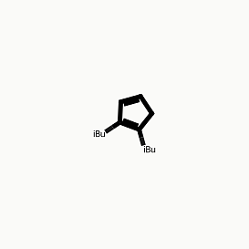 CCC(C)C1=C(C(C)CC)CC=C1